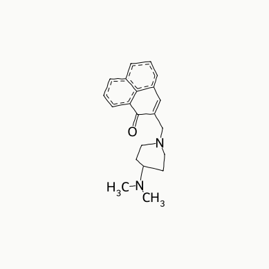 CN(C)C1CCN(CC2=Cc3cccc4cccc(c34)C2=O)CC1